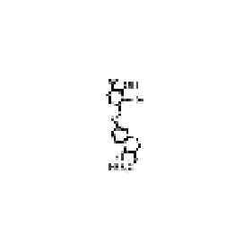 CCCc1c(COc2ccc3c(c2)CCC(CC(=O)O)C3=O)ccc(C(C)=O)c1O